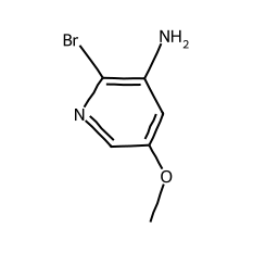 COc1cnc(Br)c(N)c1